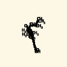 Cc1c(C)c2c(c(C)c1OC(=O)CCCCCCCCCCC(=O)O)CC[C@@](C)(C(CC=O)CC[C@H](C)CCC[C@H](C)CCCC(C)C)O2